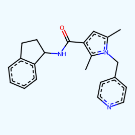 Cc1cc(C(=O)NC2CCc3ccccc32)c(C)n1Cc1ccncc1